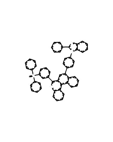 O=P(c1ccccc1)(c1ccccc1)c1cccc(-c2nc3ccccc3c3c2cc(-c2ccc(-n4c(-c5ccccc5)nc5ccccc54)cc2)c2ccccc23)c1